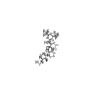 Nc1ncnc(N2CCC[C@@H](N3CCCC(Nc4cc(C(F)(F)F)cc(C(F)(F)F)c4)C3=O)C2=O)c1F